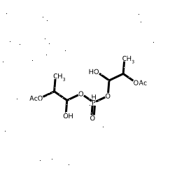 CC(=O)OC(C)C(O)O[PH](=O)OC(O)C(C)OC(C)=O